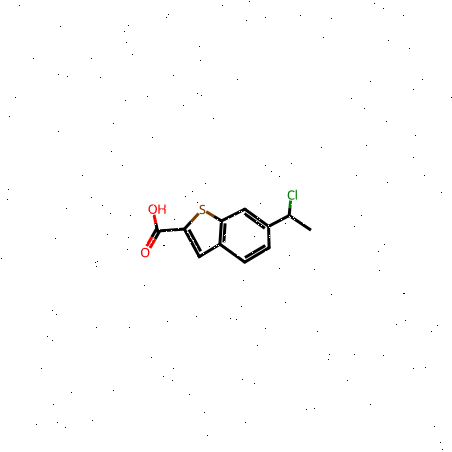 CC(Cl)c1ccc2cc(C(=O)O)sc2c1